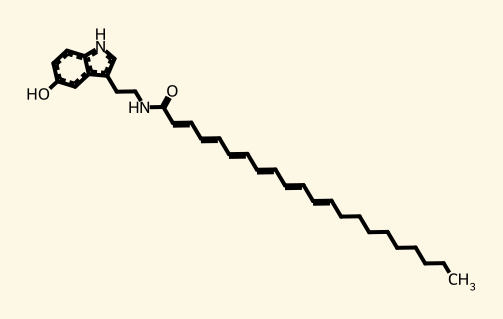 CCCCCCCCCC=CC=CC=CC=CC=CC=CC(=O)NCCc1c[nH]c2ccc(O)cc12